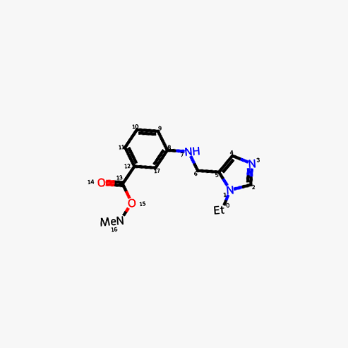 CCn1cncc1CNc1cccc(C(=O)ONC)c1